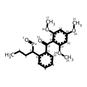 CCCC(P=O)c1ccccc1C(=O)c1c(OC)cc(OC)cc1OC